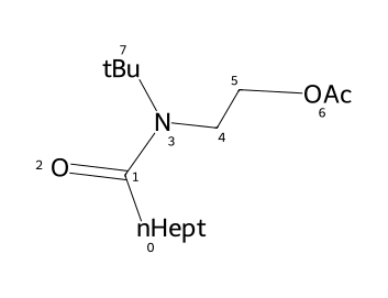 CCCCCCCC(=O)N(CCOC(C)=O)C(C)(C)C